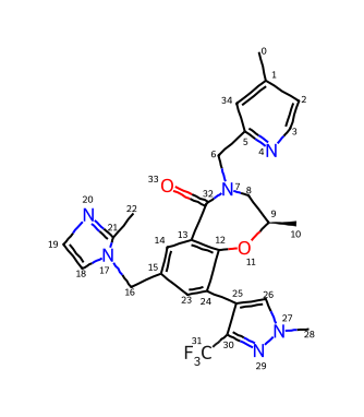 Cc1ccnc(CN2C[C@@H](C)Oc3c(cc(Cn4ccnc4C)cc3-c3cn(C)nc3C(F)(F)F)C2=O)c1